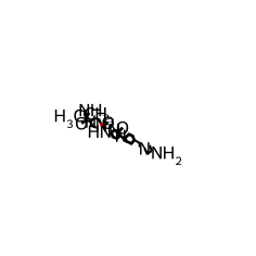 CC(C)(N)C(=O)N1CCN(C(=O)Nc2ccn(-c3ccc(CCN4CC(N)C4)cc3)c(=O)n2)CC1